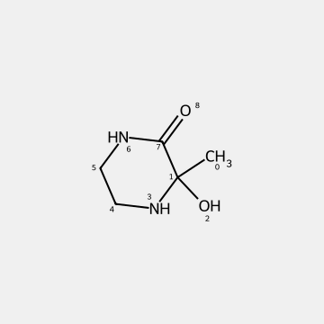 CC1(O)NCCNC1=O